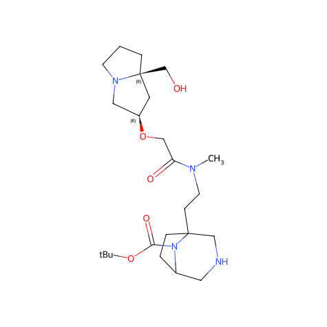 CN(CCC12CCC(CNC1)N2C(=O)OC(C)(C)C)C(=O)CO[C@H]1CN2CCC[C@]2(CO)C1